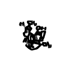 C=C1C[C@]23C[C@H]1CC[C@H]2[C@@]12CCCC(C)(C(=O)O1)[C@H]2[C@@H]3C(=O)O